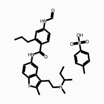 CCCc1cc(NC=O)ccc1C(=O)Nc1ccc2sc(C)c(CCN(C)C(C)CC)c2c1.Cc1ccc(S(=O)(=O)O)cc1